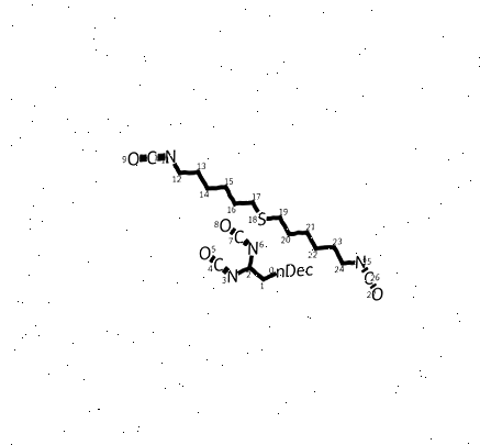 CCCCCCCCCCCC(N=C=O)N=C=O.O=C=NCCCCCCSCCCCCCN=C=O